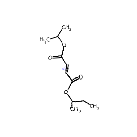 CCC(C)OC(=O)/C=C/C(=O)OC(C)C